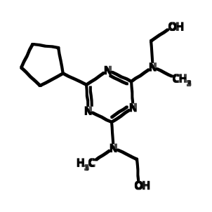 CN(CO)c1nc(C2CCCC2)nc(N(C)CO)n1